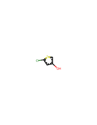 Oc1csc(Cl)c1